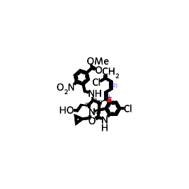 C=C(Cl)/C=C\C=C(/F)[C@H]1[C@H](NCc2cc(C(=O)OC)ccc2[N+](=O)[O-])[C@H](CCO)N(CC2CC2)[C@@]12C(=O)Nc1cc(Cl)ccc12